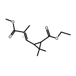 CCOC(=O)C1C(/C=C(\C)C(=O)OC)C1(C)C